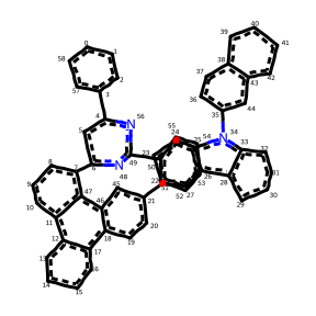 c1ccc(-c2cc(-c3cccc4c5ccccc5c5ccc(-c6ccc7c(c6)c6ccccc6n7-c6ccc7ccccc7c6)cc5c34)nc(-c3ccccc3)n2)cc1